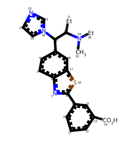 CCC(C(c1ccc2nc(-c3cccc(C(=O)O)c3)sc2c1)n1ccnc1)N(C)CC